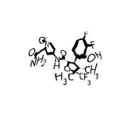 C[C@H]1[C@H](c2ccc(F)c(F)c2O)[C@@H](C(=O)Nc2cc[n+]([O-])c(C(N)=O)c2)O[C@]1(C)C(F)(F)F